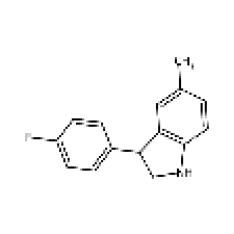 Cc1ccc2c(c1)C(c1ccc(F)cc1)CN2